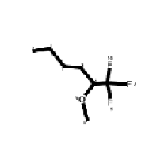 CCCCC(OC)C(F)(F)F